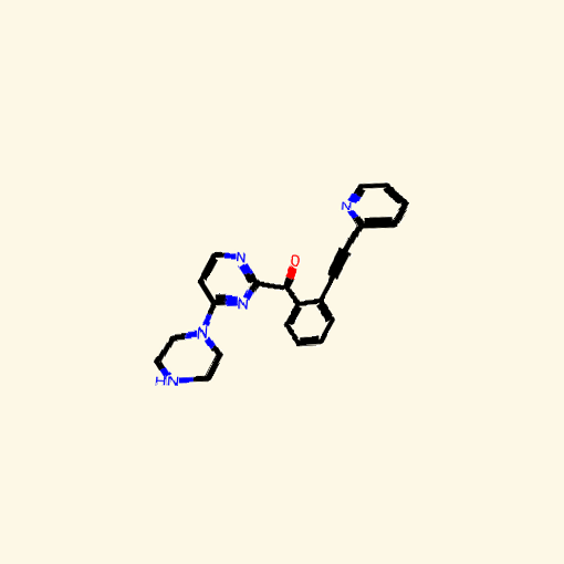 O=C(c1nccc(N2CCNCC2)n1)c1ccccc1C#Cc1ccccn1